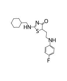 O=C1N=C(NCC2CCCCC2)SC1CCNc1ccc(F)cc1